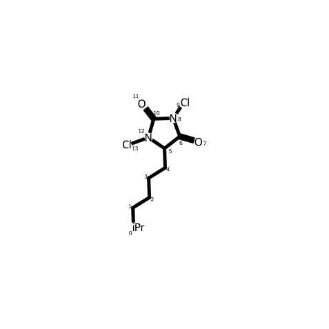 CC(C)CCCCC1C(=O)N(Cl)C(=O)N1Cl